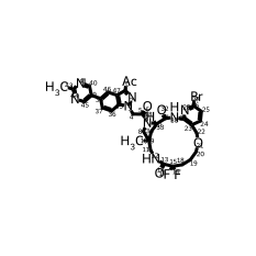 CC(=O)c1nn(CC(=O)N2C[C@@]3(C)CNC(=O)C(F)(F)CCCOCc4ccc(Br)nc4NC(=O)[C@@H]2C3)c2ccc(-c3cnc(C)nc3)cc12